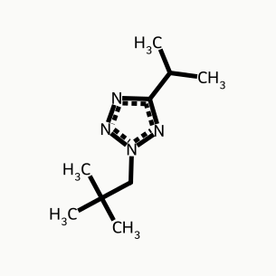 CC(C)c1nnn(CC(C)(C)C)n1